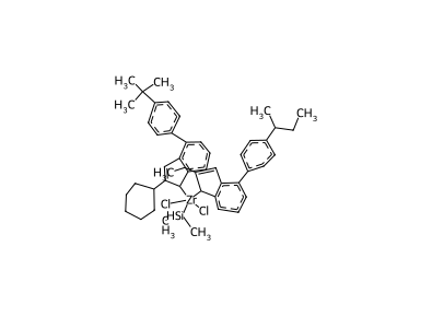 CCC1=Cc2c(-c3ccc(C(C)CC)cc3)cccc2[CH]1[Zr]([Cl])([Cl])([CH]1C(C2CCCCC2)=Cc2c(-c3ccc(C(C)(C)C)cc3)cccc21)[SiH](C)C